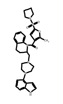 Cc1oc(S(=O)(=O)N2CCCC2)cc1C(=O)N1c2ccccc2CCC1CN1CCN(c2cccc3[nH]ccc23)CC1